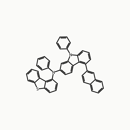 c1ccc(N(c2ccc3c4c(-c5ccc6ccccc6c5)cccc4n(-c4ccccc4)c3c2)c2cccc3sc4ccccc4c23)cc1